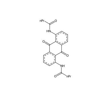 CCCC(=O)Nc1cccc2c1C(=O)c1cccc(NC(=O)CCC)c1C2=O